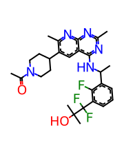 CC(=O)N1CCC(c2cc3c(NC(C)c4cccc(C(F)(F)C(C)(C)O)c4F)nc(C)nc3nc2C)CC1